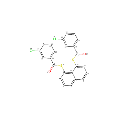 O=C(Sc1cccc2cccc(SC(=O)c3cccc(Cl)c3)c12)c1cccc(Cl)c1